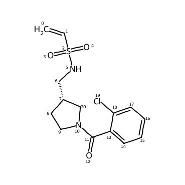 C=CS(=O)(=O)NC[C@H]1CCN(C(=O)c2ccccc2Cl)C1